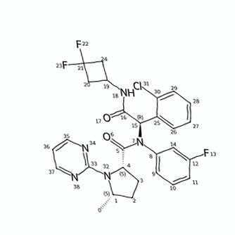 C[C@H]1CC[C@@H](C(=O)N(c2cccc(F)c2)[C@@H](C(=O)NC2CC(F)(F)C2)c2ccccc2Cl)N1c1ncccn1